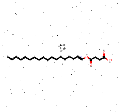 CCCCCCCCCCCCCCCC/C=C/OC(=O)CCC(=O)O.[NaH].[NaH]